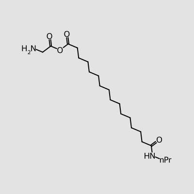 CCCNC(=O)CCCCCCCCCCCCCCC(=O)OC(=O)CN